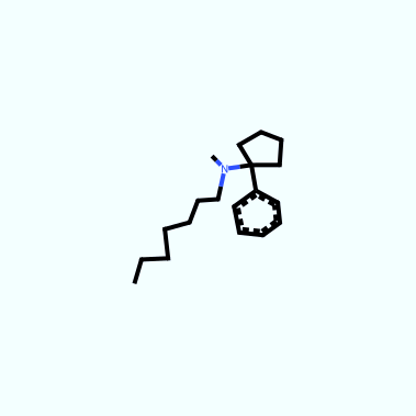 CCCCCCCN(C)C1(c2ccccc2)CCCC1